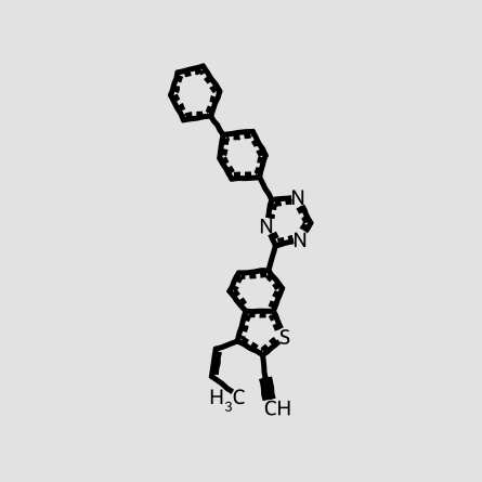 C#Cc1sc2cc(-c3ncnc(-c4ccc(-c5ccccc5)cc4)n3)ccc2c1/C=C\C